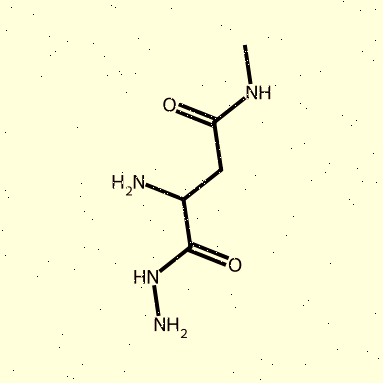 CNC(=O)CC(N)C(=O)NN